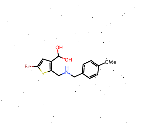 COc1ccc(CNCc2sc(Br)cc2C(O)O)cc1